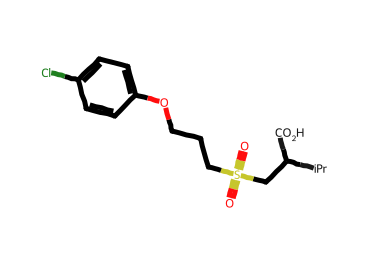 CC(C)C(CS(=O)(=O)CCCOc1ccc(Cl)cc1)C(=O)O